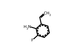 C=Cc1cccc(F)c1N